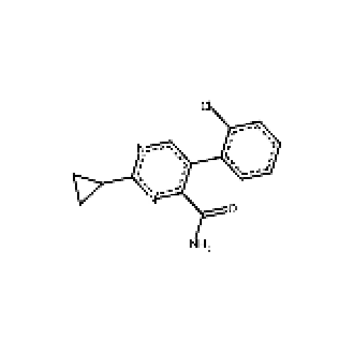 NC(=O)c1nc(C2CC2)ncc1-c1ccccc1Cl